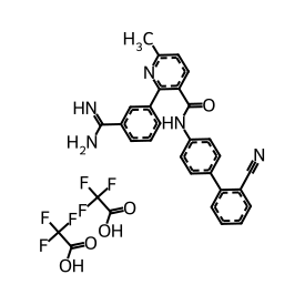 Cc1ccc(C(=O)Nc2ccc(-c3ccccc3C#N)cc2)c(-c2cccc(C(=N)N)c2)n1.O=C(O)C(F)(F)F.O=C(O)C(F)(F)F